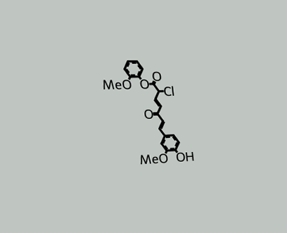 COc1cc(C=CC(=O)C=CC(Cl)C(=O)Oc2ccccc2OC)ccc1O